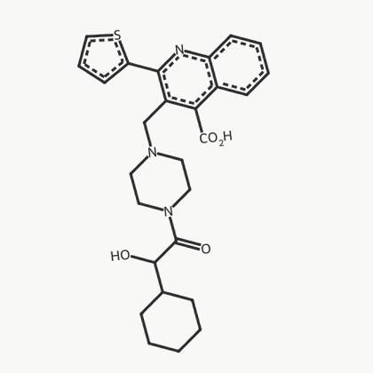 O=C(O)c1c(CN2CCN(C(=O)C(O)C3CCCCC3)CC2)c(-c2cccs2)nc2ccccc12